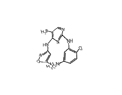 Bc1cnc(Nc2cc(N)ccc2Cl)nc1Nc1cc(C)on1